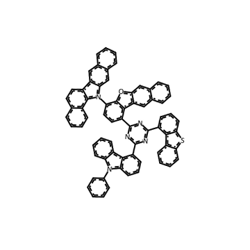 c1ccc(-n2c3ccccc3c3c(-c4nc(-c5cccc6sc7ccccc7c56)nc(-c5ccc(-n6c7cc8ccccc8cc7c7ccc8ccccc8c76)c6oc7cc8ccccc8cc7c56)n4)cccc32)cc1